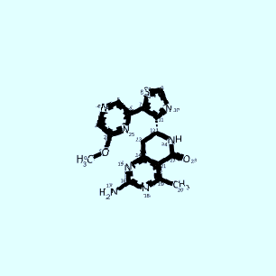 COc1cncc(-c2scnc2[C@H]2Cc3nc(N)nc(C)c3C(=O)N2)n1